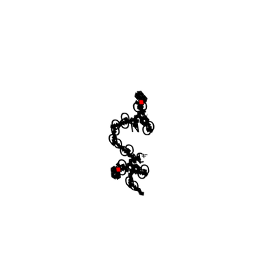 [C-]#[N+]C(C)(CCC(=O)OCCOC(C)OCCOC(C)OCCOC(=O)CCC(C)(C#N)CC(CC(C)(SC)C(=O)OC1(CC)C2CC3CC(C2)CC1C3)c1ccc(OC(C)=O)cc1)CC(CC(C)(SCCCOC(C)OCCCC)C(=O)OC1(CC)C2CC3CC(C2)CC1C3)c1ccc(OC(C)=O)cc1